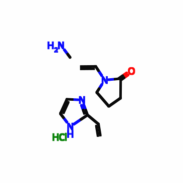 C=CN1CCCC1=O.C=Cc1ncc[nH]1.CN.Cl